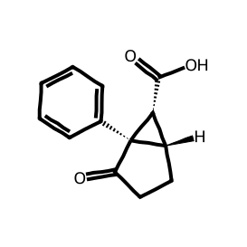 O=C(O)[C@@H]1[C@@H]2CCC(=O)[C@@]12c1ccccc1